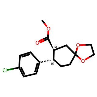 COC(=O)[C@H]1CC2(CC[C@@H]1c1ccc(Cl)cc1)OCCO2